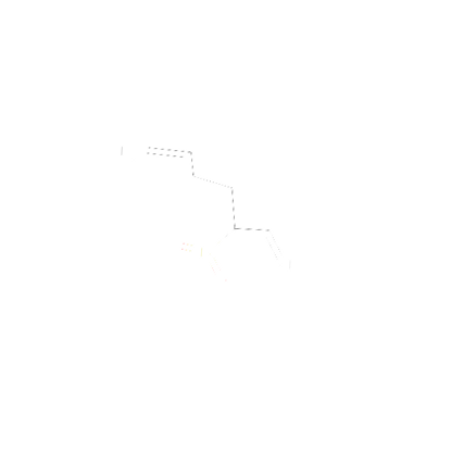 C=CCCC(C=C)[SH](=O)=O